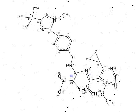 C=N/C(=N\C(NCc1ccc(-c2nc(C(F)(F)F)cn2C)cc1)=C(/C)C(=O)O)c1c(OC)ncnc1C1CC1